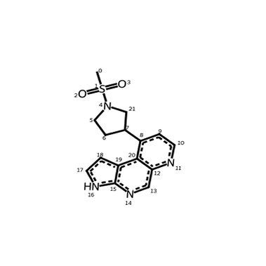 CS(=O)(=O)N1CCC(c2ccnc3cnc4[nH]ccc4c23)C1